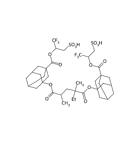 CCC(C)(CC(C)C(=O)OC12CC3CC(C1)CC(C(=O)OC(CS(=O)(=O)O)C(F)(F)F)(C3)C2)C(=O)OC12CC3CC(C1)CC(C(=O)OC(CS(=O)(=O)O)C(F)(F)F)(C3)C2